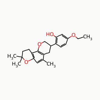 CCOc1ccc(C2COc3c(c(C)cc4c3CCC(C)(C)O4)C2)c(O)c1